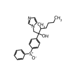 CCCCC(C)C(O)(Cn1ccnc1)c1ccc([S+]([O-])c2ccccc2)cc1